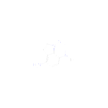 CCNc1ccc(N)c2ccn(N)c12